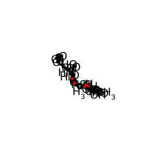 C[C@]12C=CC(=O)C=C1CC[C@@H]1[C@@H]2[C@@H](O)C[C@@]2(C)[C@H]1C[C@H]1O[C@@H](c3ccc(CC45CCC(NC(=O)[C@H](CCC(=O)O)NC(=O)CNCCCC(=O)ON6C(=O)CCC6=O)(CC4)CO5)cc3)O[C@]12C(=O)CO